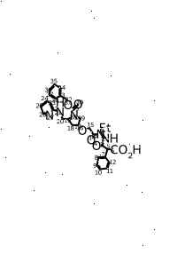 CCN(NC(=O)C(C(=O)O)c1ccccc1)C(=O)COC1CC(CNc2ccccn2)N(C(=O)OCc2ccccc2)C1